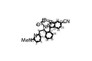 CNc1cccc(CC(N[S@@+]([O-])C(C)(C)C)c2ccccc2-c2noc3cc(C#N)ccc23)n1